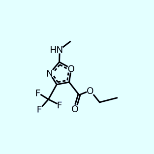 CCOC(=O)c1oc(NC)nc1C(F)(F)F